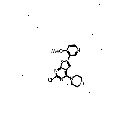 COc1ccncc1-c1cc2c(N3CCOCC3)nc(Cl)nc2s1